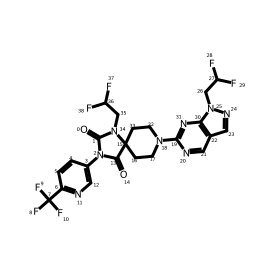 O=C1N(c2ccc(C(F)(F)F)nc2)C(=O)C2(CCN(c3ncc4cnn(CC(F)F)c4n3)CC2)N1CC(F)F